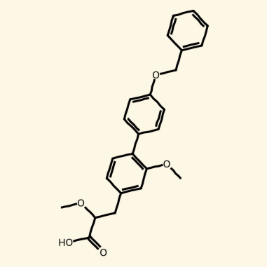 COc1cc(CC(OC)C(=O)O)ccc1-c1ccc(OCc2ccccc2)cc1